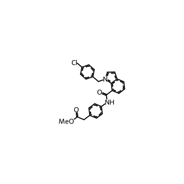 COC(=O)Cc1ccc(NC(=O)c2cccc3ccn(Cc4ccc(Cl)cc4)c23)cc1